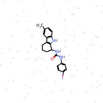 Cc1ccc2[nH]c3c(c2c1)CCCC3NC(=O)Nc1ccc(I)cc1